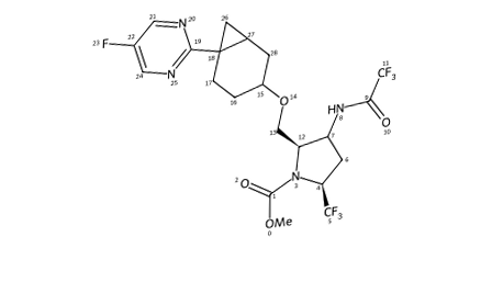 COC(=O)N1[C@H](C(F)(F)F)CC(NC(=O)C(F)(F)F)[C@@H]1COC1CCC2(c3ncc(F)cn3)CC2C1